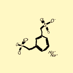 O=S(=O)([O-])Cc1cccc(CS(=O)(=O)[O-])c1.[Na+].[Na+]